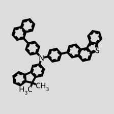 CC1(C)c2ccccc2-c2cc(N(c3ccc(-c4ccc5c(ccc6sc7ccccc7c65)c4)cc3)c3ccc(-c4cccc5ccccc45)cc3)ccc21